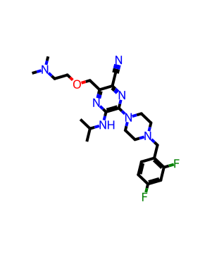 CC(C)Nc1nc(COCCN(C)C)c(C#N)nc1N1CCN(Cc2ccc(F)cc2F)CC1